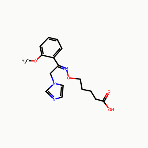 COc1ccccc1C(Cn1ccnc1)=NOCCCCC(=O)O